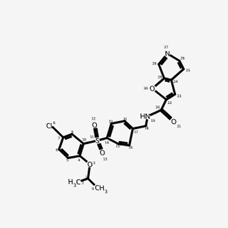 CC(C)Oc1ccc(Cl)cc1S(=O)(=O)c1ccc(CNC(=O)c2cc3ccncc3o2)cc1